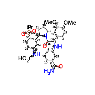 COc1ccc([C@H](Nc2cccc(C(N)=O)c2)C(=O)N2CCC[C@@H]2c2cc(NC(=O)O)ccc2S(=O)(=O)C(C)C)cc1OC